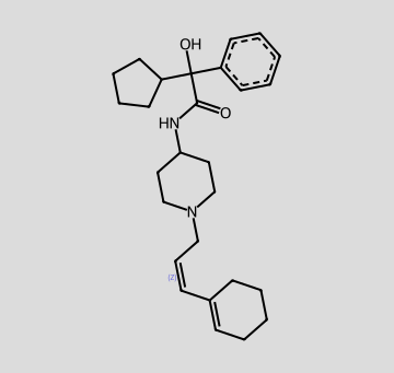 O=C(NC1CCN(C/C=C\C2=CCCCC2)CC1)C(O)(c1ccccc1)C1CCCC1